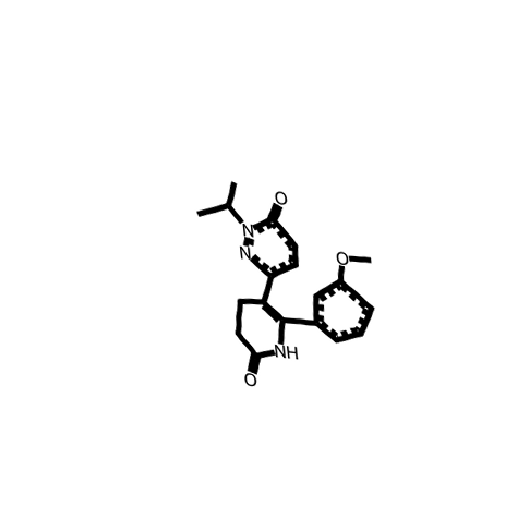 COc1cccc(C2=C(c3ccc(=O)n(C(C)C)n3)CCC(=O)N2)c1